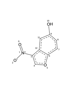 O=[N+]([O-])c1coc2ccc(O)cc12